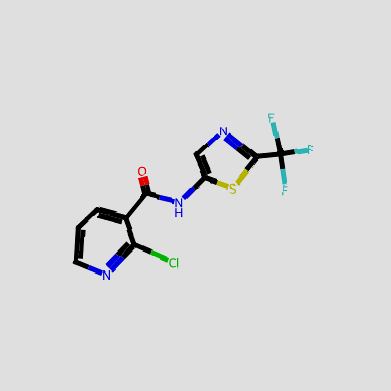 O=C(Nc1cnc(C(F)(F)F)s1)c1cccnc1Cl